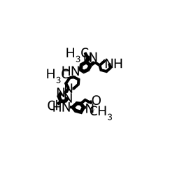 CC1CN(c2ncc(Cl)c(Nc3ccc4c(c3)CC(=O)N4C)n2)CCCC1Nc1ccc2c(C3CCCNC3)nn(C)c2c1